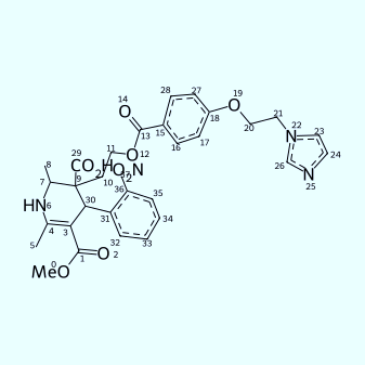 COC(=O)C1=C(C)NC(C)C(CCOC(=O)c2ccc(OCCn3ccnc3)cc2)(C(=O)O)C1c1ccccc1[N+](=O)[O-]